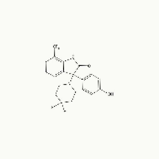 O=C1Nc2c(C(F)(F)F)cccc2C1(c1ccc(O)cc1)N1CCC(F)(F)CC1